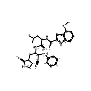 COc1cccc2[nH]c(C(=O)NC(CC(C)C)C(=O)NC(CC3CCNC3=O)C(C#N)Nc3ccccc3)cc12